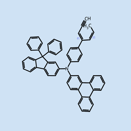 C#C/C=C(\C=C/C)c1ccc(N(c2ccc3c(c2)C(c2ccccc2)(c2ccccc2)c2ccccc2-3)c2ccc3c4ccccc4c4ccccc4c3c2)cc1